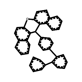 c1ccc(-c2ccccc2-c2ccc(C3c4c(ccc5ccccc45)Oc4ccc5ccccc5c43)cc2)cc1